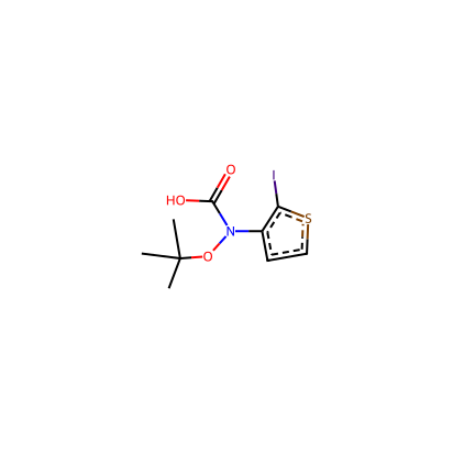 CC(C)(C)ON(C(=O)O)c1ccsc1I